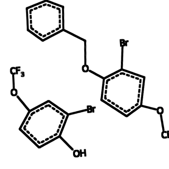 FC(F)(F)Oc1ccc(OCc2ccccc2)c(Br)c1.Oc1ccc(OC(F)(F)F)cc1Br